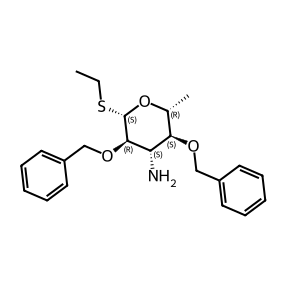 CCS[C@@H]1O[C@H](C)[C@@H](OCc2ccccc2)[C@H](N)[C@H]1OCc1ccccc1